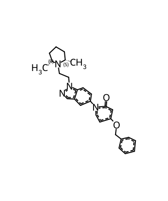 C[C@@H]1CCC[C@H](C)N1CCn1ncc2cc(-n3ccc(OCc4ccccc4)cc3=O)ccc21